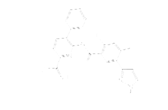 CCOC(=O)C(=N)c1ccc(-c2ccccc2)c(NC(=O)c2cc(-c3ccn(C)n3)c(C(F)(F)F)cc2F)n1